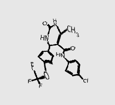 CC1=C(C(=O)Nc2ccc(Cl)cc2)C(c2ccc(OC(F)(F)F)cc2)NC(=O)N1